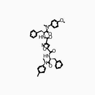 COc1ccc(N(C)C(=O)[C@H](Cc2ccccc2)NC(=O)c2cc(C(=O)N[C@@H](Cc3ccccc3)C(=O)N(C)c3ccc(C)cc3)on2)cc1